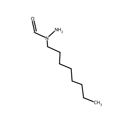 CCCCCCCCN(N)[C]=O